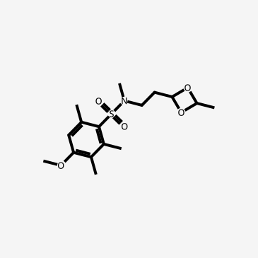 COc1cc(C)c(S(=O)(=O)N(C)CCC2OC(C)O2)c(C)c1C